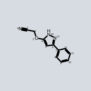 N#CCOc1cc(-c2ccccc2)n[nH]1